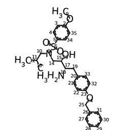 COc1ccc(S(=O)(=O)N(CC(C)C)C[C@@H](O)[C@@H](N)Cc2ccc(OCc3ccccc3)cc2)cc1